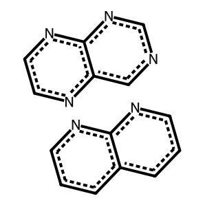 c1cnc2ncccc2c1.c1cnc2ncncc2n1